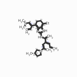 C=C/C=C(\C=C(/C)N1CC[C@H](C)C1)C(=C)Nc1nc2c([nH]1)=C(CC)CCC=2/C(C=C)=C/N(C)C